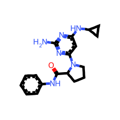 Nc1nc(NC2CC2)cc(N2CCCC2C(=O)Nc2ccccc2)n1